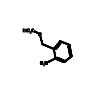 C[CH]OC(=O)OCc1ccccc1[N+](=O)[O-]